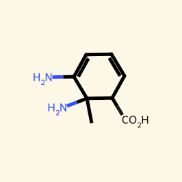 CC1(N)C(N)=CC=CC1C(=O)O